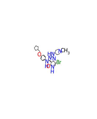 CN1CCC(Nc2nc(Nc3ccc(OCC4CCCC4)cc3)c3c(=O)[nH]cc(Br)c3n2)CC1